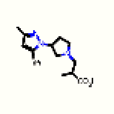 Cc1cc(C(C)C)n(C2CCN(CC(C)C(=O)O)C2)n1